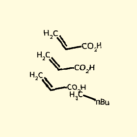 C=CC(=O)O.C=CC(=O)O.C=CC(=O)O.CCCCC